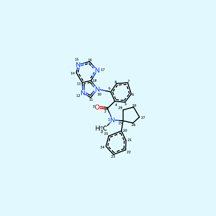 CN(C(=O)c1ccccc1-n1cnc2cncnc21)C1(c2ccccc2)CCCC1